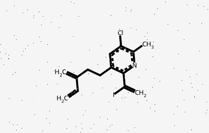 C=CC(=C)CCc1cc(Cl)c(C)nc1C(=C)I